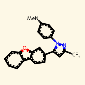 CNc1ccc(-n2nc(C(F)(F)F)cc2-c2ccc3c(c2)oc2ccccc23)cc1